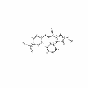 O=Cc1cn(C(=O)OCc2ccc([N+](=O)[O-])cc2)c(-c2ccccc2)n1